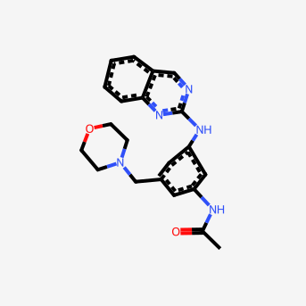 CC(=O)Nc1cc(CN2CCOCC2)cc(Nc2ncc3ccccc3n2)c1